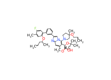 C=CCOC1(C)CCN(c2c(C(OC(C)(C)C)C(=O)O)c(C)cc3nc(-c4cccc(-c5cc(F)c(C)cc5O[C@@H](C)CC=C)c4)cn23)CC1